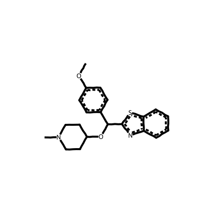 COc1ccc(C(OC2CCN(C)CC2)c2nc3ccccc3s2)cc1